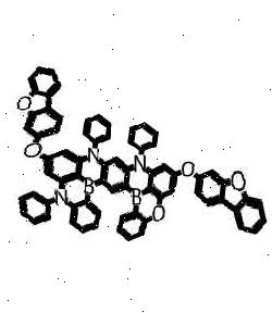 c1ccc(N2c3cc4c(cc3B3c5ccccc5Oc5cc(Oc6ccc7c(c6)oc6ccccc67)cc2c53)B2c3ccccc3N(c3ccccc3)c3cc(Oc5ccc6c(c5)oc5ccccc56)cc(c32)N4c2ccccc2)cc1